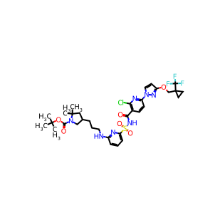 CC(C)(C)OC(=O)N1CC(CCCNc2cccc(S(=O)(=O)NC(=O)c3ccc(-n4ccc(OCC5(C(F)(F)F)CC5)n4)nc3Cl)n2)CC1(C)C